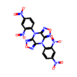 O=[N+]([O-])c1ccc(N2c3nonc3N(c3ccc([N+](=O)[O-])cc3[N+](=O)[O-])c3nonc32)c([N+](=O)[O-])c1